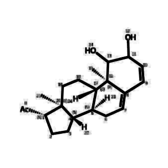 CC(=O)[C@H]1CC[C@H]2[C@@H]3CC=C4C=CC(O)C(O)[C@]4(C)[C@H]3CC[C@]12C